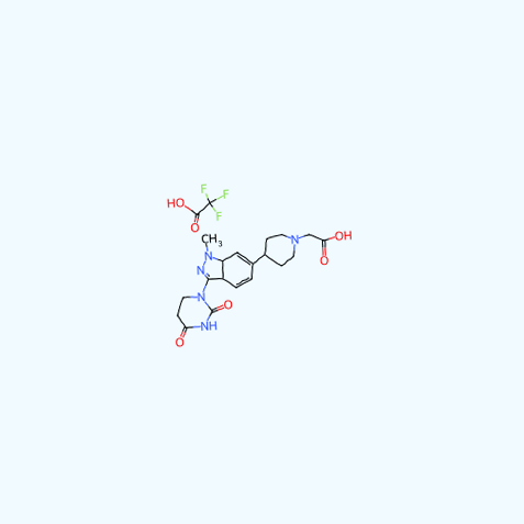 CN1N=C(N2CCC(=O)NC2=O)C2C=CC(C3CCN(CC(=O)O)CC3)=CC21.O=C(O)C(F)(F)F